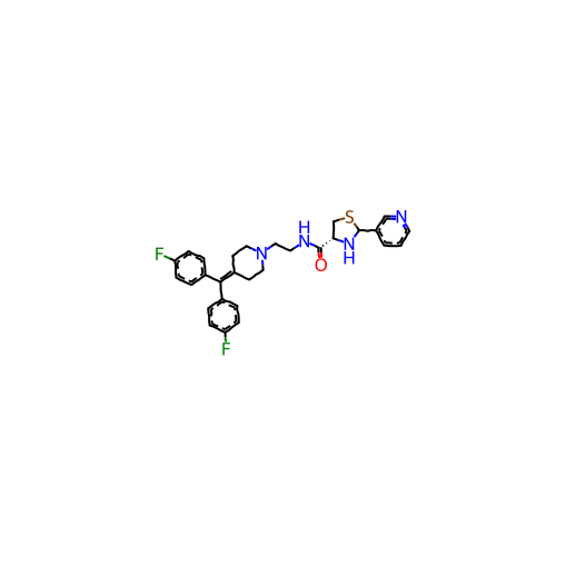 O=C(NCCN1CCC(=C(c2ccc(F)cc2)c2ccc(F)cc2)CC1)[C@@H]1CSC(c2cccnc2)N1